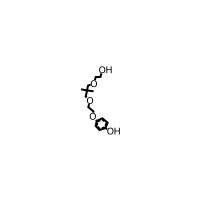 CC(C)(COCCO)COCCOc1ccc(O)cc1